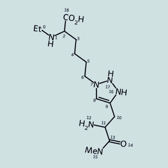 CCNC(CCCCN1C=C(CC(N)C(=O)NC)NN1)C(=O)O